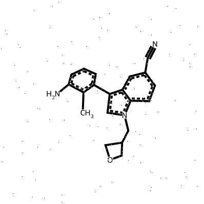 Cc1c(N)cccc1-c1cn(CC2COC2)c2ccc(C#N)cc12